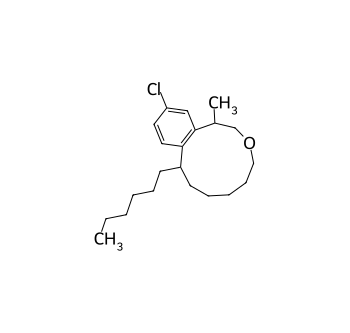 CCCCCCC1CCCCCOCC(C)c2cc(Cl)ccc21